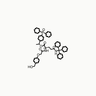 CC(OC(=O)[C@@H](CCC(=O)NC(c1ccccc1)(c1ccccc1)c1ccccc1)NC(=O)COc1ccc(CO)cc1)c1ccc(P(=O)(c2ccccc2)c2ccccc2)cc1